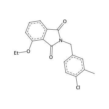 CCOc1cccc2c1C(=O)N(Cc1ccc(Cl)c(C)c1)C2=O